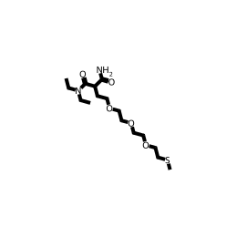 CCN(CC)C(=O)C(CCOCCOCCOCCSC)C(N)=O